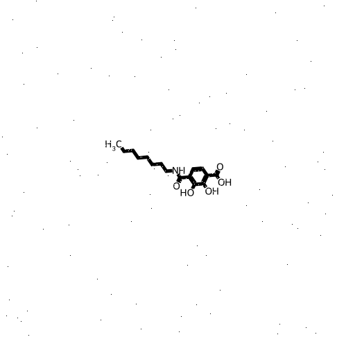 CCCCCCCCNC(=O)c1ccc(C(=O)O)c(O)c1O